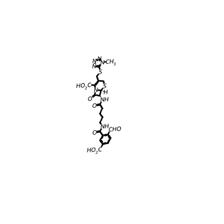 Cn1nnnc1SCC1=C(C(=O)O)N2C(=O)[C@@H](NC(=O)CCCCNC(=O)c3cc(C(=O)O)ccc3C=O)[C@@H]2SC1